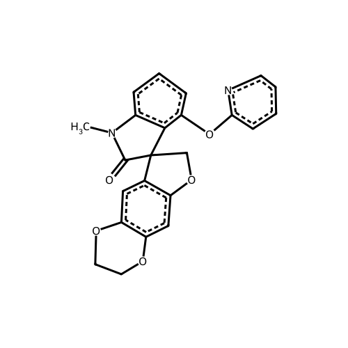 CN1C(=O)C2(COc3cc4c(cc32)OCCO4)c2c(Oc3ccccn3)cccc21